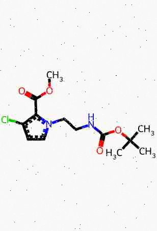 COC(=O)c1c(Cl)ccn1CCNC(=O)OC(C)(C)C